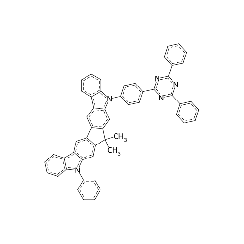 CC1(C)c2cc3c(cc2-c2cc4c5ccccc5n(-c5ccc(-c6nc(-c7ccccc7)nc(-c7ccccc7)n6)cc5)c4cc21)c1ccccc1n3-c1ccccc1